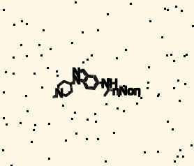 CCCCCCCCCC(C)Nc1ccc2c(cnn2C2CCN(C)CC2)c1